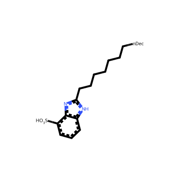 CCCCCCCCCCCCCCCCCc1nc2c(S(=O)(=O)O)cccc2[nH]1